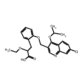 CCOC(Cc1ccccc1OCc1cnc2cc(Cl)ccc2c1OC(C)C)C(=O)O